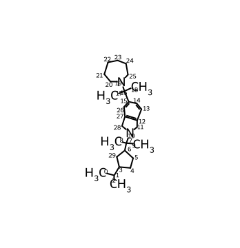 CC(C)C1CCC(C(C)(C)N2Cc3ccc(C(C)(C)N4CCCCCC4)cc3C2)C1